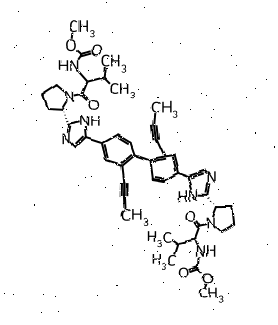 CC#Cc1cc(-c2cnc([C@@H]3CCCN3C(=O)C(NC(=O)OC)C(C)C)[nH]2)ccc1-c1ccc(-c2cnc([C@@H]3CCCN3C(=O)[C@@H](NC(=O)OC)C(C)C)[nH]2)cc1C#CC